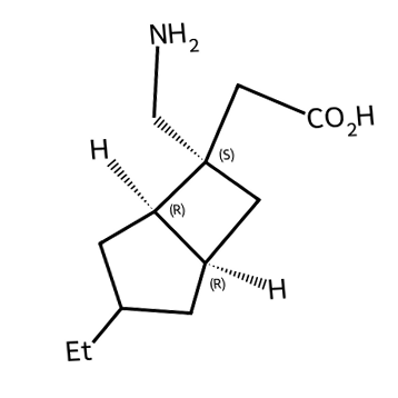 CCC1C[C@@H]2C[C@](CN)(CC(=O)O)[C@@H]2C1